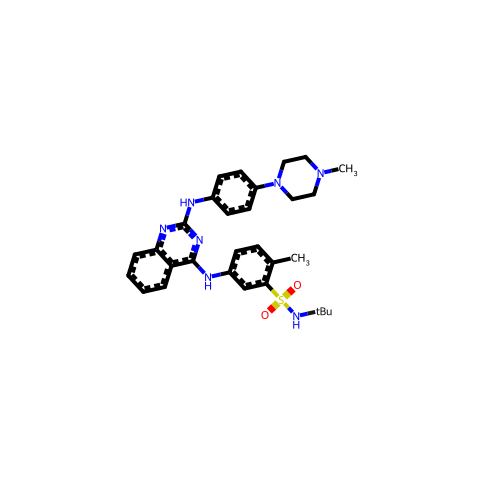 Cc1ccc(Nc2nc(Nc3ccc(N4CCN(C)CC4)cc3)nc3ccccc23)cc1S(=O)(=O)NC(C)(C)C